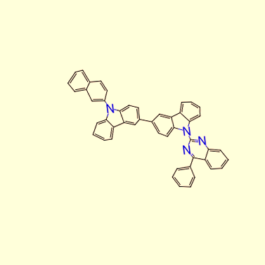 c1ccc(-c2nc(-n3c4ccccc4c4cc(-c5ccc6c(c5)c5ccccc5n6-c5ccc6ccccc6c5)ccc43)nc3ccccc23)cc1